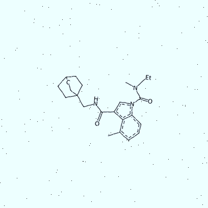 CCN(C)C(=O)n1cc(C(=O)NCC23CCC(CC2)CC3)c2c(C)cccc21